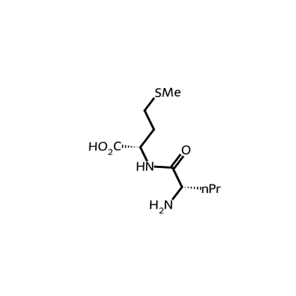 CCC[C@H](N)C(=O)N[C@@H](CCSC)C(=O)O